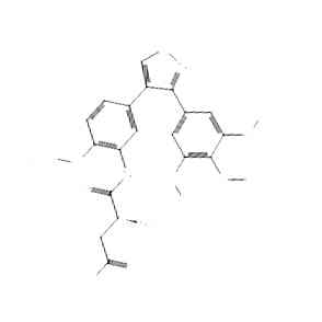 COc1ccc(-c2csnc2-c2cc(OC)c(OC)c(OC)c2)cc1NC(=O)[C@@H](N)CC(=O)O